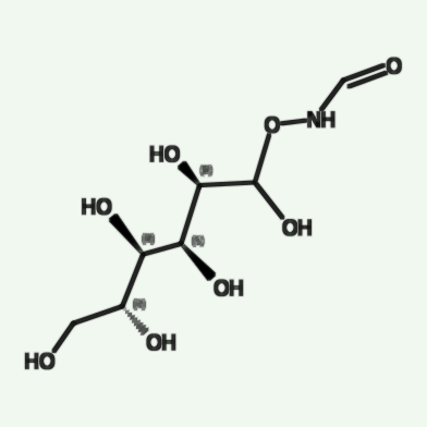 O=CNOC(O)[C@H](O)[C@@H](O)[C@H](O)[C@H](O)CO